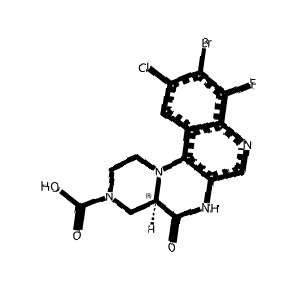 O=C1Nc2cnc3c(F)c(Br)c(Cl)cc3c2N2CCN(C(=O)O)C[C@H]12